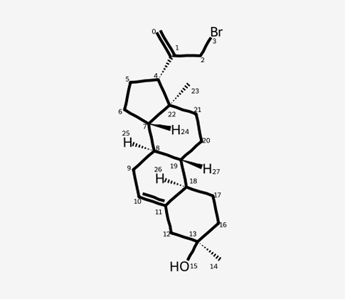 C=C(CBr)[C@H]1CC[C@H]2[C@@H]3CC=C4C[C@](C)(O)CC[C@@H]4[C@H]3CC[C@]12C